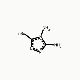 CCCCc1nnc(N)n1N